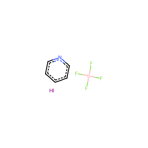 F[B-](F)(F)F.I.c1ccncc1